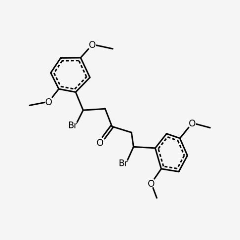 COc1ccc(OC)c(C(Br)CC(=O)CC(Br)c2cc(OC)ccc2OC)c1